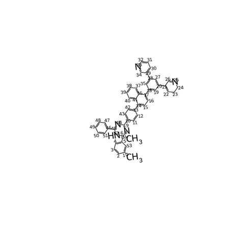 Cc1cccc([C@]2(C)N=C(c3ccc(-c4ccc(-c5cc(C6=CCCN=C6)cc(-c6cccnc6)c5)c5ccccc45)cc3)N=C(c3ccccc3)N2)c1